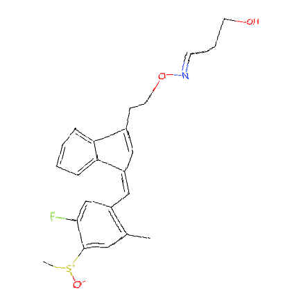 Cc1cc([S+](C)[O-])c(F)cc1/C=C1/C=C(CCON=CCCO)c2ccccc21